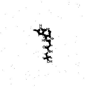 Cc1cc2c(ncc3nc(CC(=O)NCC(C)(C)O)[nH]c32)[nH]1